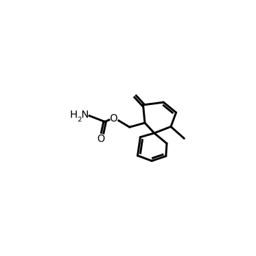 C=C1C=CC(C)C2(C=CC=CC2)C1COC(N)=O